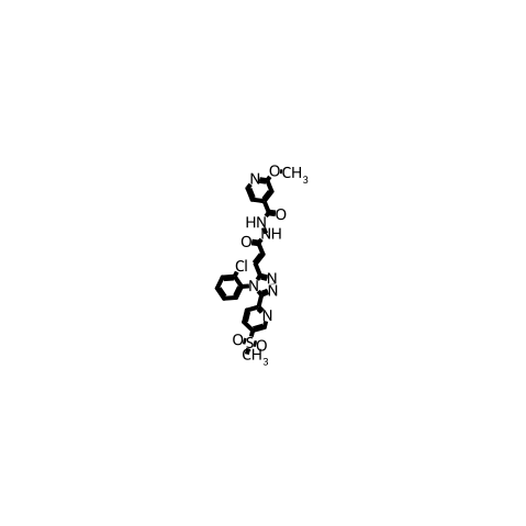 COc1cc(C(=O)NNC(=O)C=Cc2nnc(-c3ccc(S(C)(=O)=O)cn3)n2-c2ccccc2Cl)ccn1